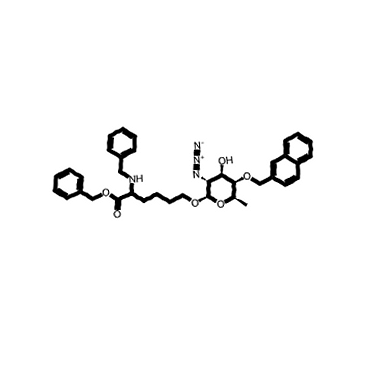 C[C@H]1O[C@@H](OCCCCC(NCc2ccccc2)C(=O)OCc2ccccc2)[C@H](N=[N+]=[N-])[C@@H](O)[C@H]1OCc1ccc2ccccc2c1